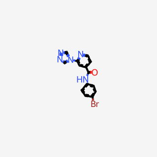 O=C(Nc1ccc(Br)cc1)c1ccnc(-n2cnnc2)c1